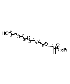 CC(C)OC(=O)NCCOCCOCCOCCOCCCO